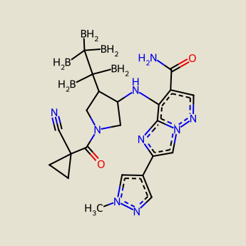 BC(B)(B)C(B)(B)C1CN(C(=O)C2(C#N)CC2)CC1Nc1c(C(N)=O)cnn2cc(-c3cnn(C)c3)nc12